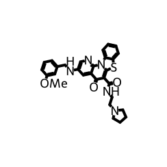 COc1cccc(CNc2cnc3c(c2)c(=O)c(C(=O)NCCN2CCCC2)c2sc4ccccc4n23)c1